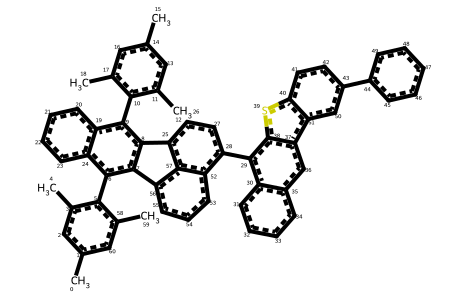 Cc1cc(C)c(-c2c3c(c(-c4c(C)cc(C)cc4C)c4ccccc24)-c2ccc(-c4c5ccccc5cc5c4sc4ccc(-c6ccccc6)cc45)c4cccc-3c24)c(C)c1